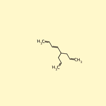 C=CC=C[C](CC=C)CC=C